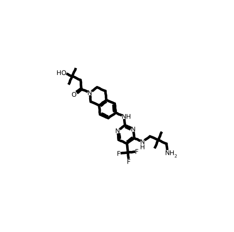 CC(C)(O)CC(=O)N1CCc2cc(Nc3ncc(C(F)(F)F)c(NCC(C)(C)CN)n3)ccc2C1